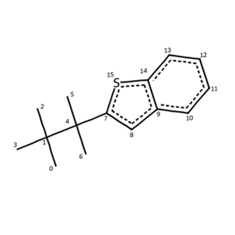 CC(C)(C)C(C)(C)c1cc2ccccc2s1